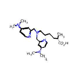 C[C@@H](CCCCN(Cc1cc(N(C)C)ccn1)Cc1cc(N(C)C)ccn1)C(=O)O